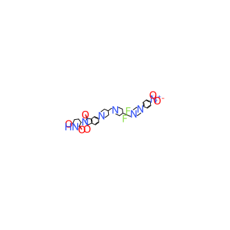 O=C1CCC(N2C(=O)c3ccc(N4CCC(CN5CCC(C(F)(F)CN6CCN(c7ccc([N+](=O)[O-])cc7)CC6)CC5)CC4)cc3C2=O)C(=O)N1